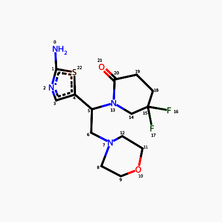 Nc1ncc(C(CN2CCOCC2)N2CC(F)(F)CCC2=O)s1